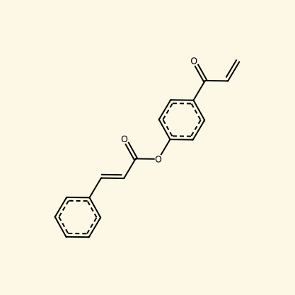 C=CC(=O)c1ccc(OC(=O)/C=C/c2ccccc2)cc1